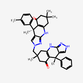 CC[C@@]1(c2ccccc2)C2=C(CC(C)(Cn3cc4c(n3)NC3=C(C(=O)CC(C)(C)C3)[C@]4(C)c3cccc(C(F)(F)F)c3)CC2=O)Nc2n[nH]cc21